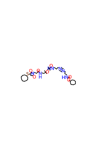 CC(C)(CCNC(=O)CCN1C(=O)CC(SC2CCCCCCCCC2)C1=O)OCC(C)(C)C(=O)NCCCN1CCN(CCCNC(=O)OC2CCCCCCC2)CC1